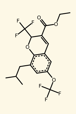 CCOC(=O)C1=Cc2cc(OC(F)(F)F)cc(CC(C)C)c2OC1C(F)(F)F